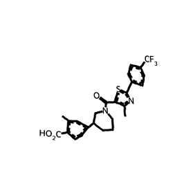 Cc1cc(C2CCCN(C(=O)c3sc(-c4ccc(C(F)(F)F)cc4)nc3C)C2)ccc1C(=O)O